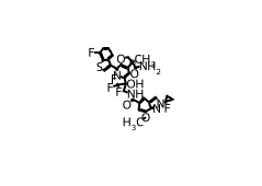 COc1cc(C(=O)NCC(O)(c2cc3c(c(-c4csc5c(F)cccc45)n2)OC[C@]3(C)C(N)=O)C(F)(F)F)cc2cn(C3(F)CC3)nc12